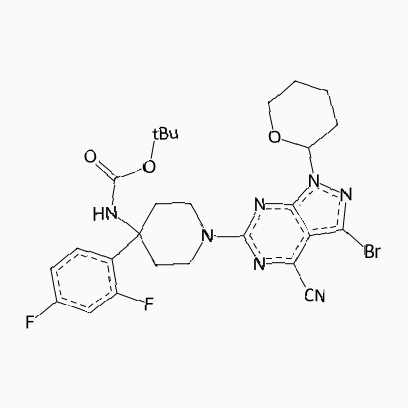 CC(C)(C)OC(=O)NC1(c2ccc(F)cc2F)CCN(c2nc(C#N)c3c(Br)nn(C4CCCCO4)c3n2)CC1